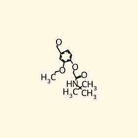 CCOc1cc(C=O)ccc1OCC(=O)NC(C)(C)C